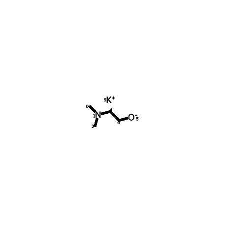 CN(C)CC[O-].[K+]